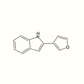 c1ccc2[nH]c(-c3ccoc3)cc2c1